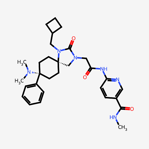 CNC(=O)c1ccc(NC(=O)CN2C[C@]3(CC[C@@](c4ccccc4)(N(C)C)CC3)N(CC3CCC3)C2=O)nc1